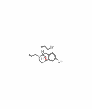 C=CCBr.C=CCN1CC[C@]23CCCC[C@H]2[C@H]1Cc1ccc(O)cc13